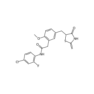 C=C1NC(=O)C(Cc2ccc(OC)c(CC(=O)Nc3ccc(Cl)cc3F)c2)S1